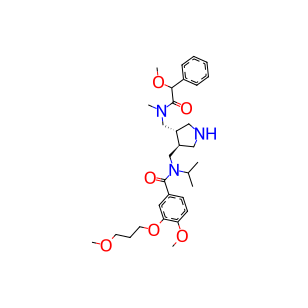 COCCCOc1cc(C(=O)N(C[C@@H]2CNC[C@H]2CN(C)C(=O)C(OC)c2ccccc2)C(C)C)ccc1OC